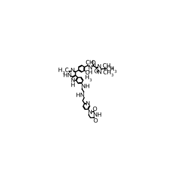 Cc1cc(C2=NC(C)Nc3[nH]c4cc(NCCNCCc5ccc(N6CCC(=O)NC6=O)cn5)ccc4c32)ccc1[C@@H](C)NC(=O)c1nc(C(C)(C)C)no1